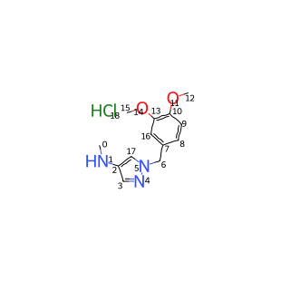 CNc1cnn(Cc2ccc(OC)c(OC)c2)c1.Cl